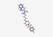 Cc1ccc(S(=O)(=O)N2CCC(CCCCNC(=O)C3Cc4cnccc4N3)CC2)cc1